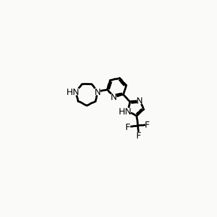 FC(F)(F)c1cnc(-c2cccc(N3CCCNCC3)n2)[nH]1